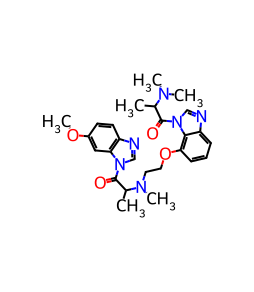 COc1ccc2ncn(C(=O)C(C)N(C)CCOc3cccc4ncn(C(=O)C(C)N(C)C)c34)c2c1